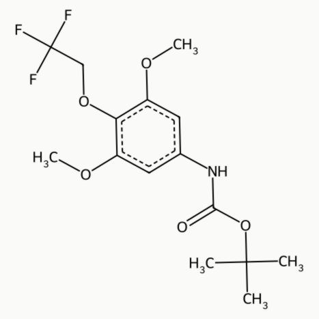 COc1cc(NC(=O)OC(C)(C)C)cc(OC)c1OCC(F)(F)F